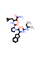 CCC(C)NC(=O)NC(C(=O)N1CCC[C@H]1C(=O)NC(CC1CC1)C(=O)C(N)=O)C1Cc2ccccc2C1